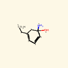 NC1(O)C=CC=C(CC(=O)O)C1